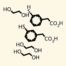 O=C(O)Cc1cccc(S)c1.O=C(O)Cc1cccc(S)c1.OCCO.OCCO.OCCO